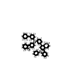 C1=Cc2c(c(-c3cccc(N(c4cccc(-c5ccccc5)c4)c4ccc5sc6ccccc6c5c4)c3)cc3c2c2ccccc2n3-c2ccccc2)CC1